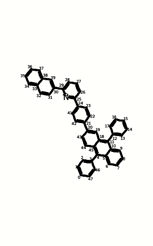 c1ccc(-c2c3ccccc3c(-c3ccccc3)c3cc(-c4ccc(-c5cccc(-c6ccc7ccccc7c6)n5)cc4)ccc23)cc1